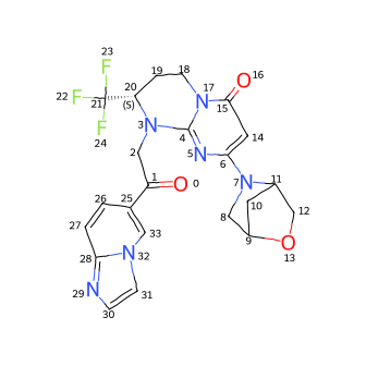 O=C(CN1c2nc(N3CC4CC3CO4)cc(=O)n2CC[C@H]1C(F)(F)F)c1ccc2nccn2c1